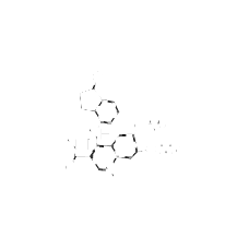 COc1cc2ncc(C(N)=O)c(Nc3cccc4c3CCC4=O)c2cc1OC